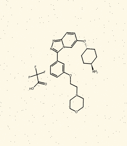 N[C@H]1CC[C@H](Oc2ccc3nnc(-c4cccc(OCCN5CCOCC5)c4)n3c2)CC1.O=C(O)C(F)(F)F